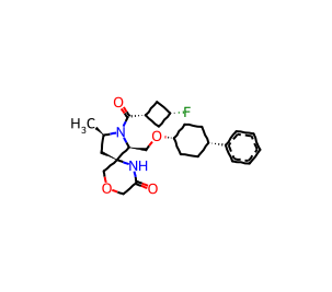 C[C@@H]1C[C@@]2(COCC(=O)N2)[C@H](CO[C@H]2CC[C@@H](c3ccccc3)CC2)N1C(=O)[C@H]1C[C@@H](F)C1